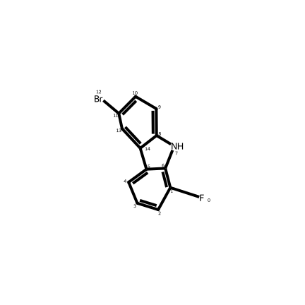 Fc1cccc2c1[nH]c1ccc(Br)cc12